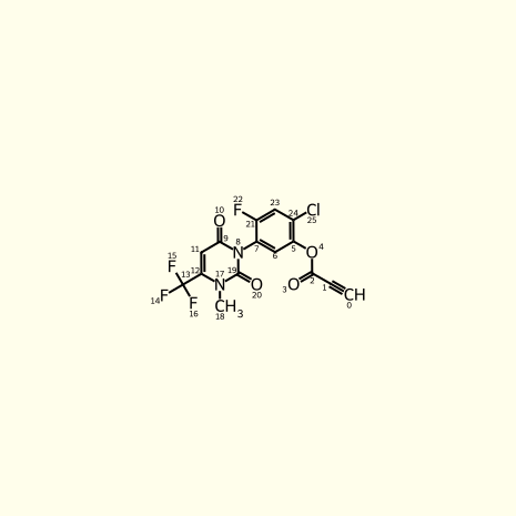 C#CC(=O)Oc1cc(-n2c(=O)cc(C(F)(F)F)n(C)c2=O)c(F)cc1Cl